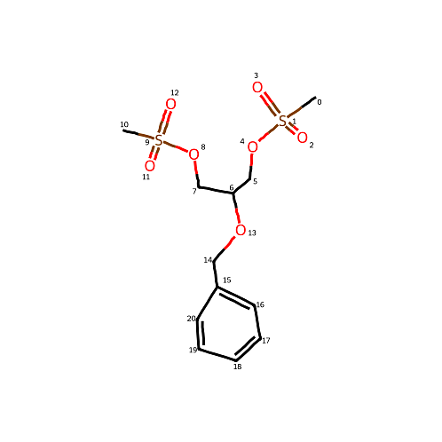 CS(=O)(=O)OCC(COS(C)(=O)=O)OCc1ccccc1